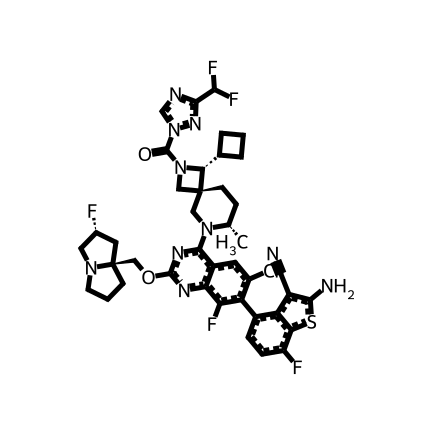 C[C@H]1CC[C@]2(CN(C(=O)n3cnc(C(F)F)n3)[C@@H]2C2CCC2)CN1c1nc(OC[C@@]23CCCN2C[C@H](F)C3)nc2c(F)c(-c3ccc(F)c4sc(N)c(C#N)c34)c(Cl)cc12